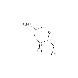 CC(=O)NC1COC(CO)[C@@H](O)C1